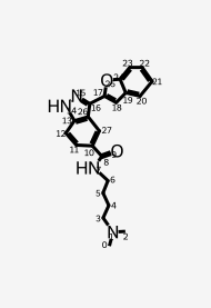 CN(C)CCCCNC(=O)c1ccc2[nH]nc(-c3cc4ccccc4o3)c2c1